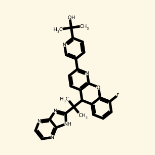 CC(C)(O)c1ccc(-c2ccc3c(n2)Oc2c(F)cccc2C3C(C)(C)c2nc3nccnc3[nH]2)cn1